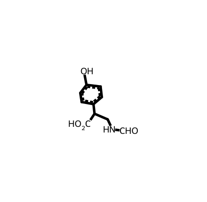 O=CNCC(C(=O)O)c1ccc(O)cc1